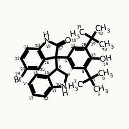 CC(C)(C)c1cc(C2(C3CNc4ccccc43)C(=O)Nc3ccc(Br)cc32)cc(C(C)(C)C)c1O